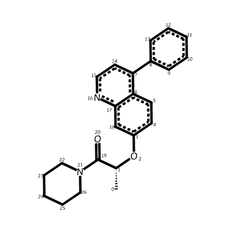 C[C@@H](Oc1ccc2c(-c3ccccc3)ccnc2c1)C(=O)N1CCCCC1